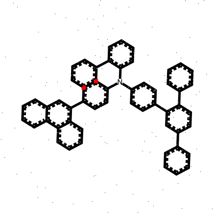 c1ccc(-c2ccc(-c3ccccc3)c(-c3ccc(N(c4ccc(-c5cc6ccccc6c6ccccc56)cc4)c4ccccc4-c4ccccc4)cc3)c2)cc1